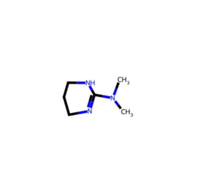 CN(C)C1=NCCCN1